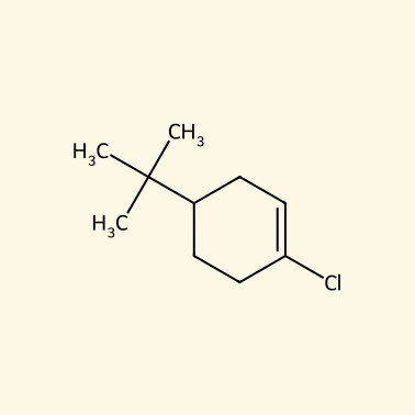 CC(C)(C)C1CC=C(Cl)CC1